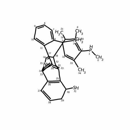 CPC1=[N+](C)C(c2ccccc2C2=CC34N/C=C\C(C(C)C)CC(=C23)C2=C4C=CCC2S)C=C1C